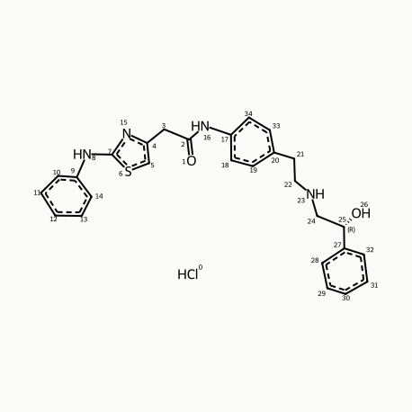 Cl.O=C(Cc1csc(Nc2ccccc2)n1)Nc1ccc(CCNC[C@H](O)c2ccccc2)cc1